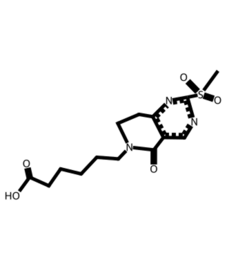 CS(=O)(=O)c1ncc2c(n1)CCN(CCCCCC(=O)O)C2=O